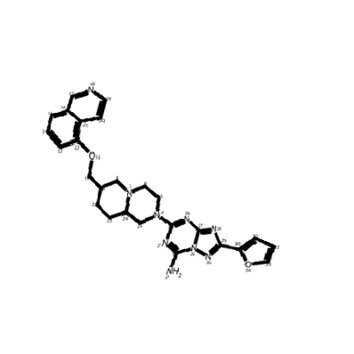 Nc1nc(N2CCN3CC(COc4cccc5cnccc45)CCC3C2)nc2nc(-c3ccco3)nn12